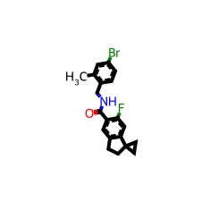 Cc1cc(Br)ccc1CNC(=O)c1cc2c(cc1F)C1(CC2)CC1